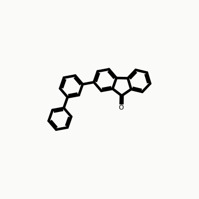 O=C1c2ccccc2-c2ccc(-c3cccc(-c4ccccc4)c3)cc21